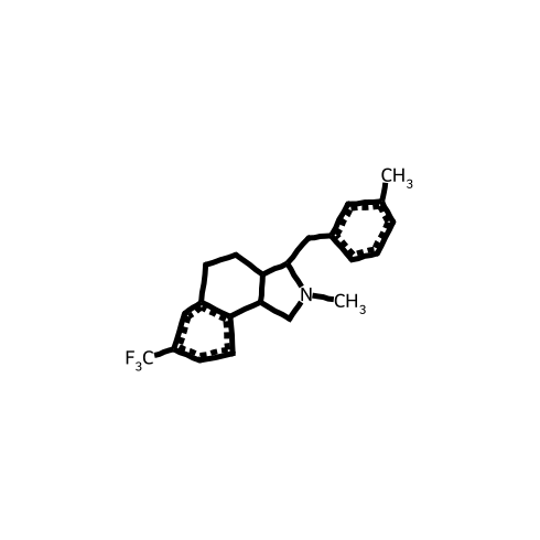 Cc1cccc(CC2C3CCc4cc(C(F)(F)F)ccc4C3CN2C)c1